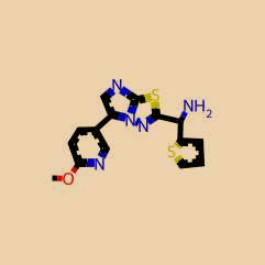 COc1ccc(-c2cnc3sc(C(N)c4cccs4)nn23)cn1